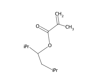 C=C(C)C(=O)OC(CC(C)C)C(C)C